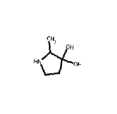 CC1NCCC1(O)O